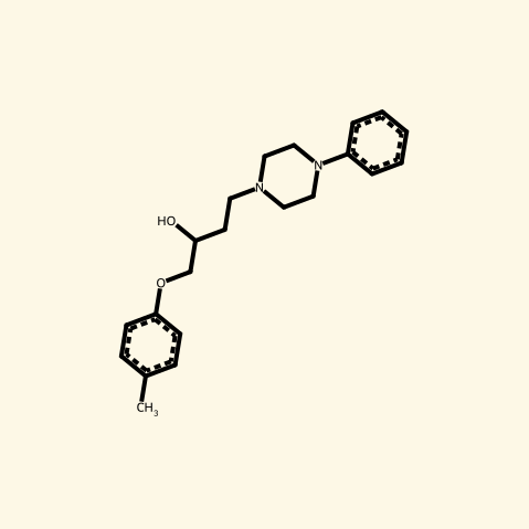 Cc1ccc(OCC(O)CCN2CCN(c3ccccc3)CC2)cc1